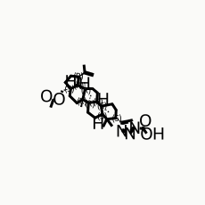 C=C(C)[C@@H]1CC[C@]2(COC(C)=O)CC[C@]3(C)[C@H](CC[C@@H]4[C@@]5(C)CC[C@H](c6cn(C(=O)O)nn6)C(C)(C)[C@@H]5CC[C@]43C)[C@@H]12